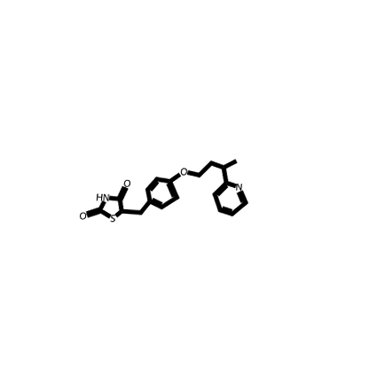 CC(CCOc1ccc(CC2SC(=O)NC2=O)cc1)c1ccccn1